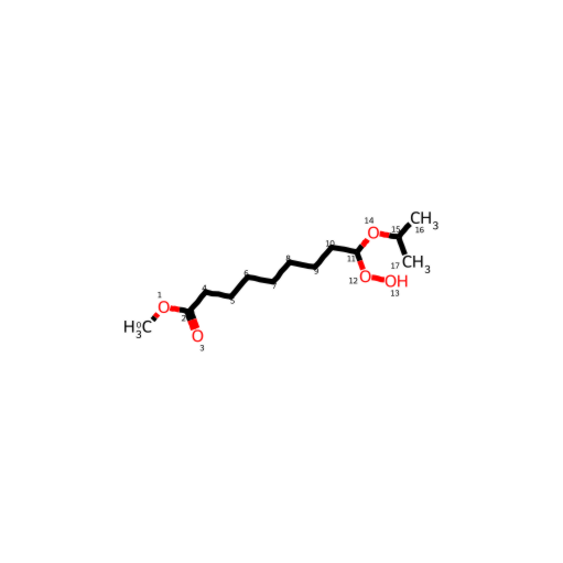 COC(=O)CCCCCCCC(OO)OC(C)C